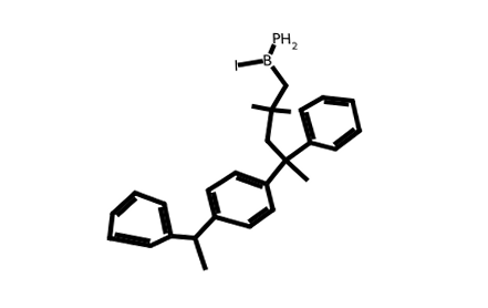 CC(c1ccccc1)c1ccc(C(C)(CC(C)(C)CB(P)I)c2ccccc2)cc1